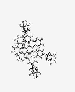 CC1(C)OB(c2ccc(-c3c(-c4ccc(B5OC(C)(C)C(C)(C)O5)cc4)c(-c4ccccc4)c(-n4c5ccccc5c5ccccc54)c(-c4ccc(B5OC(C)(C)C(C)(C)O5)cc4)c3-c3ccccc3)cc2)OC1(C)C